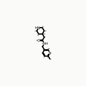 Cc1ccc(CNC(=O)CC2CCNCC2)cn1